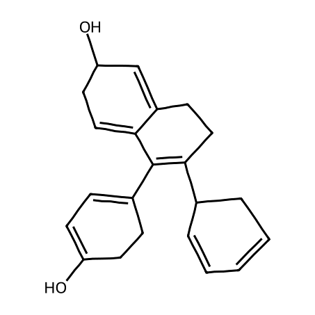 OC1=CC=C(C2=C(C3C=CC=CC3)CCC3=CC(O)CC=C32)CC1